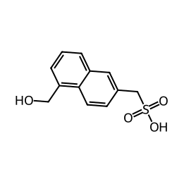 O=S(=O)(O)Cc1ccc2c(CO)cccc2c1